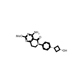 COc1nc(N)c2c(n1)CCN(c1ccc([C@H]3C[C@@H](O)C3)cc1)C2=O